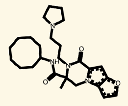 CC1(C(=O)NC2CCCCCCC2)Cn2c(cc3occc32)C(=O)N1CCCN1CCCC1